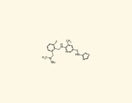 Cc1cc(SNc2cscn2)cnc1NCc1c(F)cccc1CN(C)C(C)(C)C